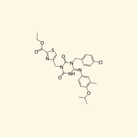 CCOC(=O)c1nc(Cn2c(=O)[nH]/c(=N\c3ccc(OC(C)C)c(C)c3)n(Cc3ccc(Cl)cc3)c2=O)cs1